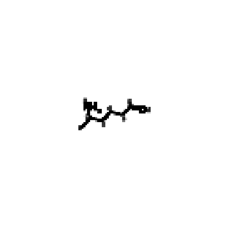 CC(N)CCC[C]=O